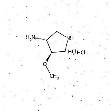 CO[C@@H]1CNC[C@H]1N.Cl.Cl